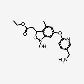 CCOC(=O)CC1OB(O)c2cc(Oc3ccc(CN)cn3)cc(C)c21